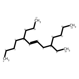 CCCCC(C=CCC(CC)CCCC)CCC